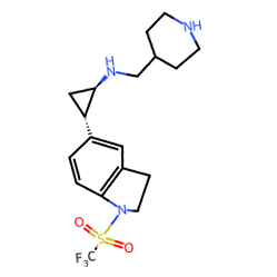 O=S(=O)(N1CCc2cc([C@@H]3C[C@H]3NCC3CCNCC3)ccc21)C(F)(F)F